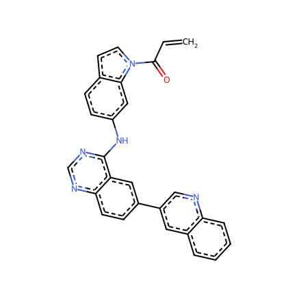 C=CC(=O)n1ccc2ccc(Nc3ncnc4ccc(-c5cnc6ccccc6c5)cc34)cc21